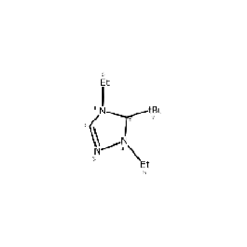 CCN1C=NN(CC)C1C(C)(C)C